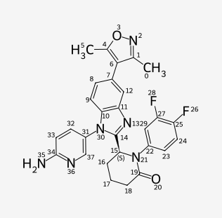 Cc1noc(C)c1-c1ccc2c(c1)nc([C@@H]1CCCC(=O)N1c1ccc(F)c(F)c1)n2-c1ccc(N)nc1